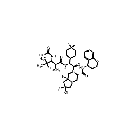 C[C@H](C(=O)N[C@H](C(=O)N1C[C@H]2C[C@@](C)(O)CN2C[C@H]1C(=O)N[C@@H]1CCOc2ccccc21)C1CCC(F)(F)CC1)C(NC(=O)O)C(C)(C)C